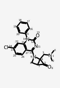 CN(C)CC12C(=O)C1CN2c1nc(=O)n(-c2ccccc2)c2cc(Cl)ccc12